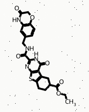 CCOC(=O)C1CCc2sc3nc(C(=O)NCc4ccc5c(c4)NC(=O)CO5)[nH]c(=O)c3c2C1